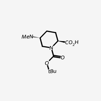 CN[C@@H]1CC[C@@H](C(=O)O)N(C(=O)OC(C)(C)C)C1